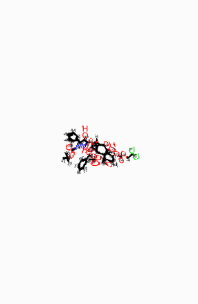 CC(=O)O[C@@]12CO[C@@H]1C[C@H](OC(=O)OCC(Cl)Cl)[C@@]1(C)C(=O)[C@H](O)C3=C(C)[C@@H](OC(=O)C(O)[C@@H](NC(=O)OC(C)(C)C)c4ccccc4)C[C@@](O)([C@@H](OC(=O)c4ccccc4)C12)C3(C)C